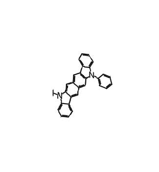 In1c2ccccc2c2cc3cc4c(cc3cc21)c1ccccc1n4-c1ccccc1